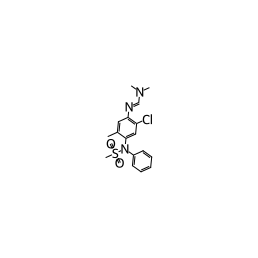 Cc1cc(N=CN(C)C)c(Cl)cc1N(c1ccccc1)S(C)(=O)=O